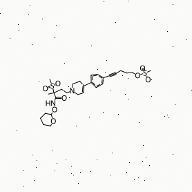 CC(CCN1CC=C(c2ccc(C#CCCCOS(C)(=O)=O)cc2)CC1)(C(=O)NOC1CCCCO1)S(C)(=O)=O